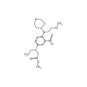 CCC(CC(=O)OC)c1ccc(N(CCOC)C2CCOCC2)c([N+](=O)[O-])c1